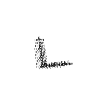 CN(C)P.CN(C)P.CN(C)P.CN(C)P.CN(C)P.CN(C)P.CN(C)P.CN(C)P.CN(C)P.CN(C)P.CN(C)P.CN(C)P.OP(O)F.OP(O)F.OP(O)F.OP(O)F.OP(O)F.OP(O)F